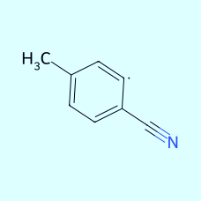 Cc1c[c]c(C#N)cc1